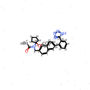 CCCCC(=O)N(Cc1ccc2cc(-c3ccccc3-c3nnn[nH]3)ccc2c1)C1(OC(=O)O)CCCC1